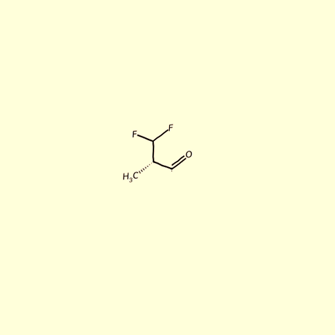 C[C@@H]([C]=O)C(F)F